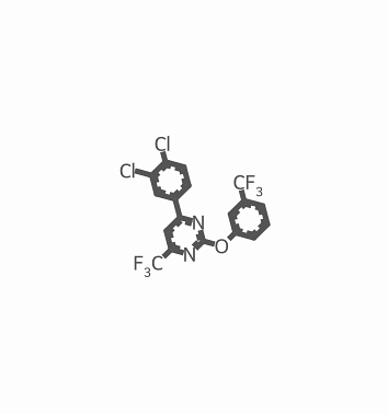 FC(F)(F)c1cccc(Oc2nc(-c3ccc(Cl)c(Cl)c3)cc(C(F)(F)F)n2)c1